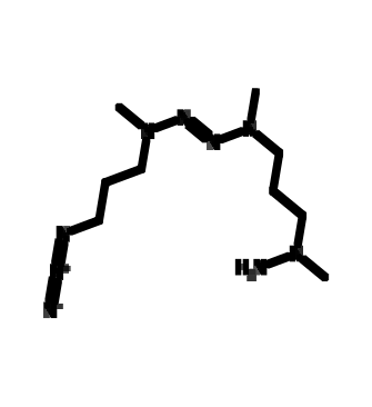 CN(N)CCCN(C)N=NN(C)CCCN=[N+]=[N-]